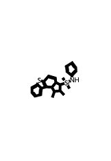 CC1C(C)C([Si](C)(C)Nc2ccccc2)C2C=Cc3sc4ccccc4c3C12